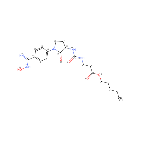 CCCCCOC(=O)CCNC(=O)N[C@H]1CCN(c2ccc(C(=N)NO)cc2)C1=O